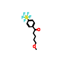 COCCCCC(=O)c1ccc(S(F)(F)(F)(F)F)cc1